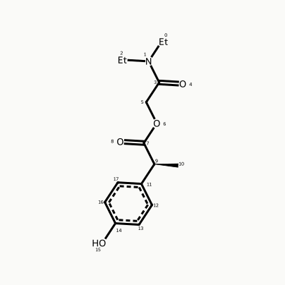 CCN(CC)C(=O)COC(=O)[C@@H](C)c1ccc(O)cc1